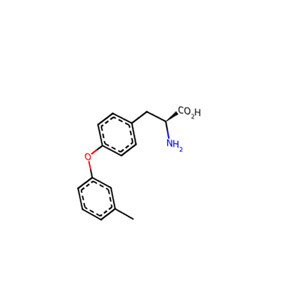 Cc1cccc(Oc2ccc(C[C@H](N)C(=O)O)cc2)c1